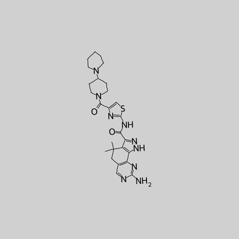 CC1(C)Cc2cnc(N)nc2-c2[nH]nc(C(=O)Nc3nc(C(=O)N4CCC(N5CCCCC5)CC4)cs3)c21